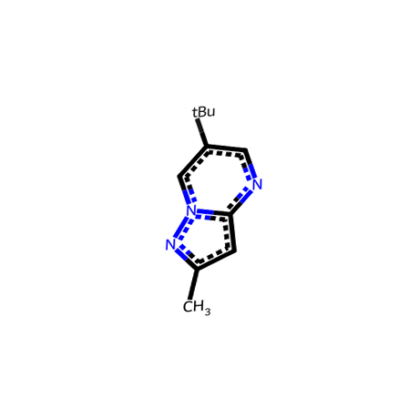 Cc1cc2ncc(C(C)(C)C)cn2n1